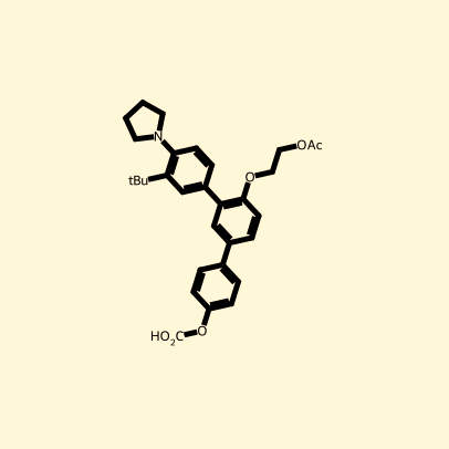 CC(=O)OCCOc1ccc(-c2ccc(OC(=O)O)cc2)cc1-c1ccc(N2CCCC2)c(C(C)(C)C)c1